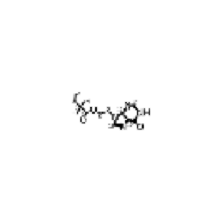 CCC(C)(C)C(=O)OCCn1cnc2c(=O)[nH]cnc21